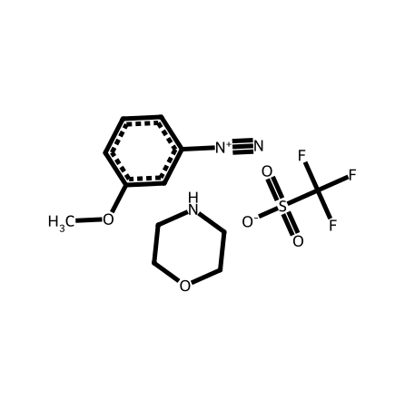 C1COCCN1.COc1cccc([N+]#N)c1.O=S(=O)([O-])C(F)(F)F